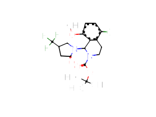 COc1ccc(Cl)c2c1C(N1CC(C(F)(F)F)CC1=O)N(C(=O)OC(C)(C)C)CC2